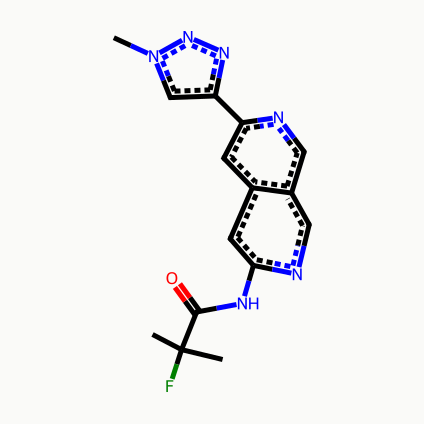 Cn1cc(-c2cc3cc(NC(=O)C(C)(C)F)ncc3cn2)nn1